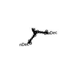 CCCCCCCCCCCC(=O)OCCCCCCOc1cc(CN(C)C)cc(OCCCCCCOC(=O)CCCCCCCCCCC)c1